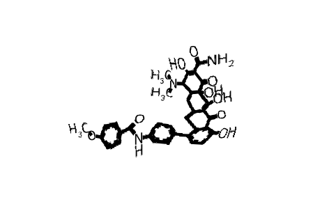 COc1ccc(C(=O)Nc2ccc(-c3ccc(O)c4c3CC3CC5C(N(C)C)C(O)=C(C(N)=O)C(=O)C5(O)C(O)=C3C4=O)cc2)cc1